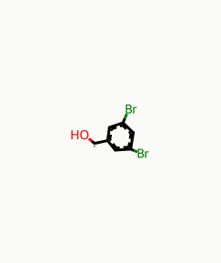 O[CH]c1cc(Br)cc(Br)c1